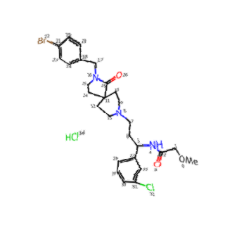 COCC(=O)NC(CCN1CCC2(CC1)CCN(Cc1ccc(Br)cc1)C2=O)c1cccc(Cl)c1.Cl